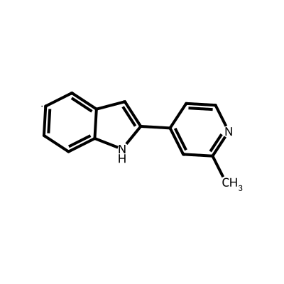 Cc1cc(-c2cc3c[c]ccc3[nH]2)ccn1